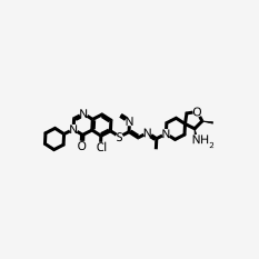 C=N/C(=C\N=C(/C)N1CCC2(CC1)CO[C@@H](C)[C@H]2N)Sc1ccc2ncn(C3CCCCC3)c(=O)c2c1Cl